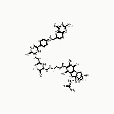 CO[C@@]12[C@H](COC(N)=O)C3=C(C(=O)C(C)=C(NCCSSC[C@H](NC(=O)CC[C@@H](NC(=O)c4ccc(NCc5cnc6nc(N)[nH]c(=O)c6n5)cc4)C(=O)O)C(=O)O)C3=O)N1C[C@@H]1N[C@@H]12